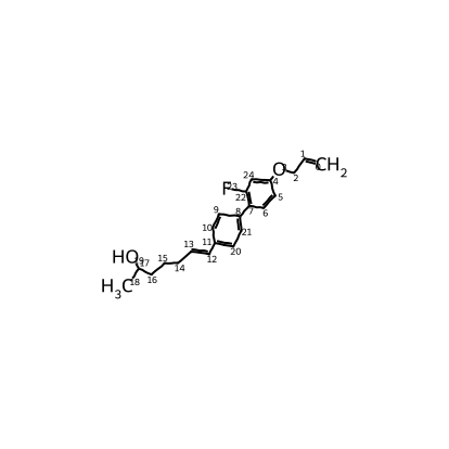 C=CCOc1ccc(-c2ccc(C=CCCCC(C)O)cc2)c(F)c1